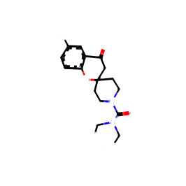 CCN(CC)C(=O)N1CCC2(CC1)CC(=O)c1cc(C)ccc1O2